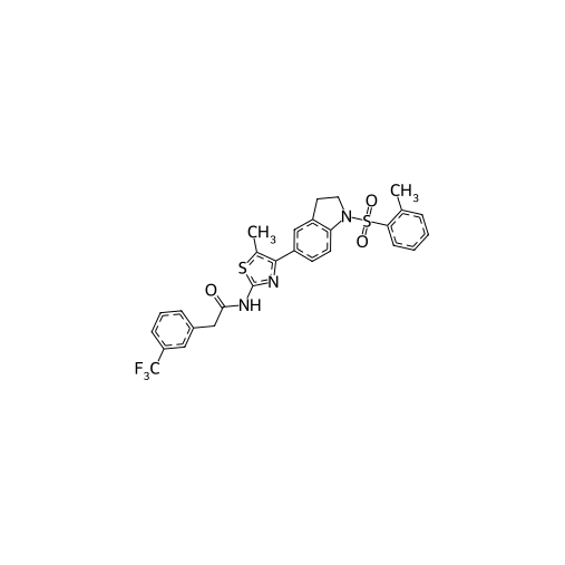 Cc1ccccc1S(=O)(=O)N1CCc2cc(-c3nc(NC(=O)Cc4cccc(C(F)(F)F)c4)sc3C)ccc21